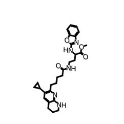 COC(=O)C(CCNC(=O)CCCCc1nc2c(cc1C1CC1)CCCN2)Nc1nc2ccccc2o1